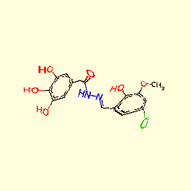 COc1cc(Cl)cc(C=NNC(=O)c2cc(O)c(O)c(O)c2)c1O